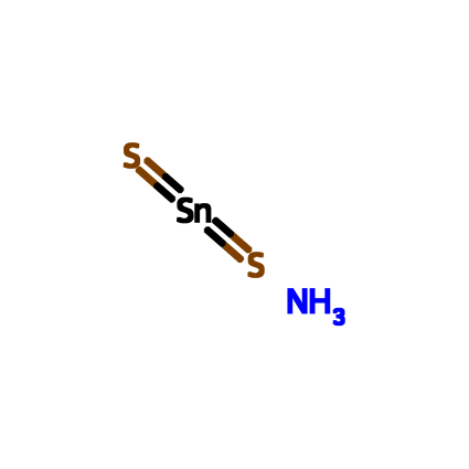 N.[S]=[Sn]=[S]